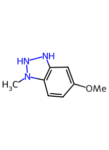 COc1ccc2c(c1)NNN2C